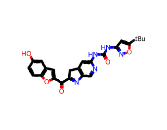 CC(C)(C)c1cc(NC(=O)Nc2cc3c(cn2)N=C(C(=O)c2cc4cc(O)ccc4o2)C3)no1